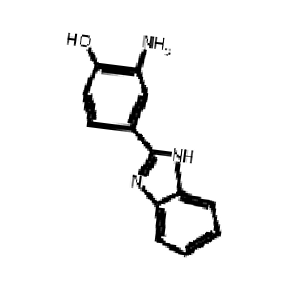 Nc1cc(-c2nc3ccccc3[nH]2)ccc1O